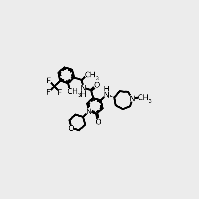 Cc1c(C(C)NC(=O)c2cn(C3CCOCC3)c(=O)cc2N[C@H]2CCCN(C)CC2)cccc1C(F)(F)F